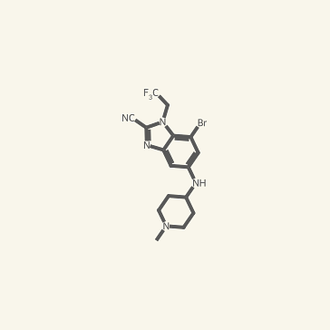 CN1CCC(Nc2cc(Br)c3c(c2)nc(C#N)n3CC(F)(F)F)CC1